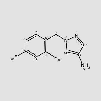 Nc1cnn(Cc2ccc(F)cc2F)c1